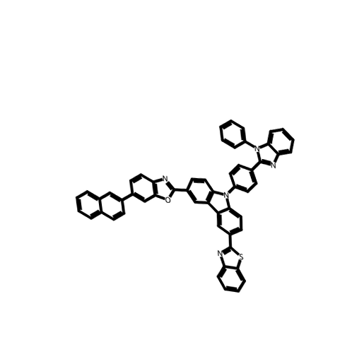 c1ccc(-n2c(-c3ccc(-n4c5ccc(-c6nc7ccc(-c8ccc9ccccc9c8)cc7o6)cc5c5cc(-c6nc7ccccc7s6)ccc54)cc3)nc3ccccc32)cc1